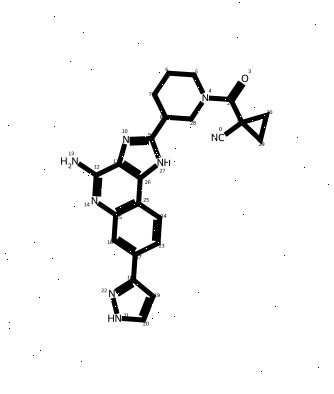 N#CC1(C(=O)N2CCCC(c3nc4c(N)nc5cc(-c6cc[nH]n6)ccc5c4[nH]3)C2)CC1